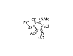 CCOc1c(Cl)c(NC)c(Cl)c(OCC)c1C(C)=O